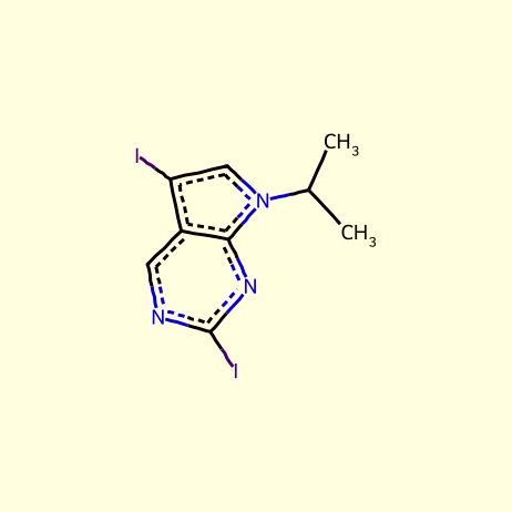 CC(C)n1cc(I)c2cnc(I)nc21